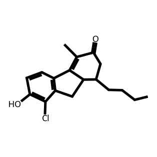 CCCCC1CC(=O)C(C)=C2c3ccc(O)c(Cl)c3CC21